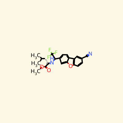 COC(=O)[C@H](CC(C)C)NC(c1ccc2c(c1)oc1ccc(C#N)cc12)C(F)(F)F